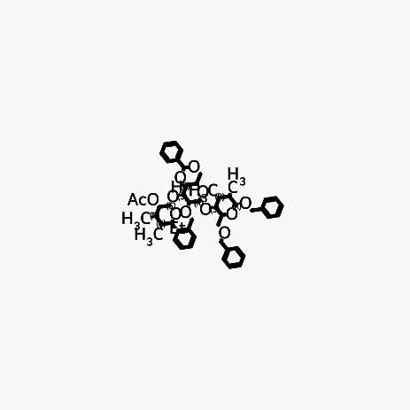 CCC1O[C@@H](O[C@@H]2C(OCc3ccccc3)[C@H](O[C@@H]3C(COCc4ccccc4)O[C@@H](OCc4ccccc4)C(C)[C@H]3C)OC3COC(c4ccccc4)O[C@H]32)C(OC(C)=O)[C@H](C)[C@H]1C